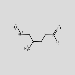 C=C(Cl)CCC(C)CNC